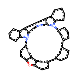 c1cc2cc(c1)c1cccc(c1)n1c3ccccc3c3c4c5ccccc5n(c5ccc6oc7ccc2cc7c6c5)c4cnc31